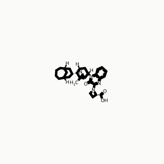 CC1C2CC[C@H](C[C@@H]2n2c(=O)c(N3CC[C@H]3C(=O)O)nc3ccccc32)N1[C@@H]1C[C@@H]2CCCC[C@@H](C2)C1